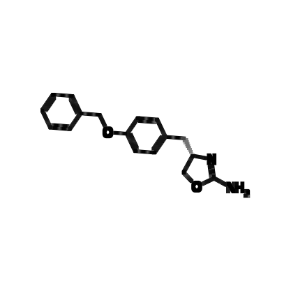 NC1=N[C@@H](Cc2ccc(OCc3ccccc3)cc2)CO1